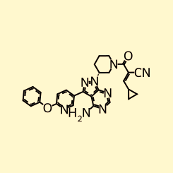 N#CC(=CC1CC1)C(=O)N1CCC[C@@H](n2nc(-c3ccc(Oc4ccccc4)nc3)c3c(N)ncnc32)C1